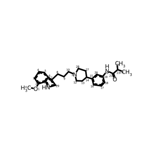 COc1cccc2c(CCCN3CCC(c4cccc(NC(=O)C(C)C)c4)CC3)c[nH]c12